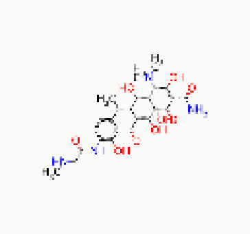 CNCC(=O)Nc1ccc2c(c1O)C(=O)C1=C(O)[C@]3(O)C(=O)C(C(N)=O)=C(O)[C@@H](N(C)C)C3C(O)C1C2C